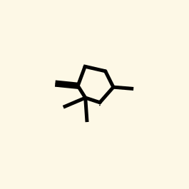 C=C1CCC(C)[CH]C1(C)C